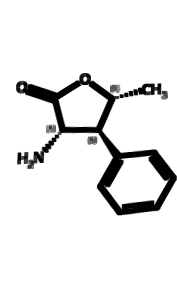 C[C@H]1OC(=O)[C@@H](N)[C@@H]1c1ccccc1